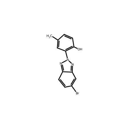 Cc1ccc(O)c(-n2nc3ccc(Br)cc3n2)c1